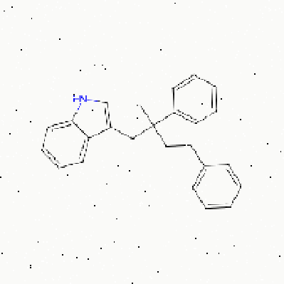 [CH2]C(CCc1ccccc1)(Cc1c[nH]c2ccccc12)c1ccccc1